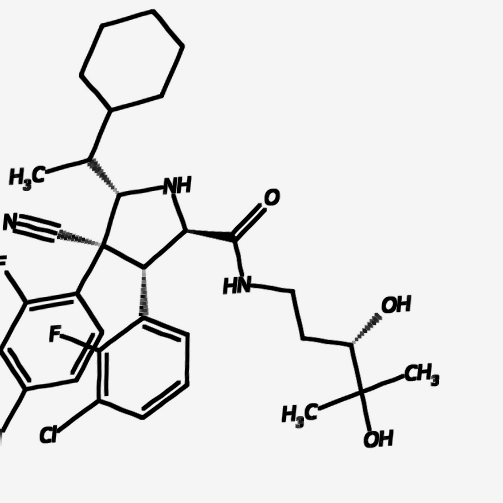 CC(C1CCCCC1)[C@@H]1N[C@@H](C(=O)NCC[C@H](O)C(C)(C)O)[C@H](c2cccc(Cl)c2F)[C@@]1(C#N)c1ccc(Cl)cc1F